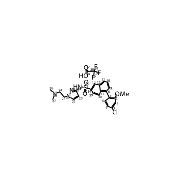 COc1cc(Cl)ccc1-c1cccc2cc(S(=O)(=O)Nc3ccn(CCN(C)C)n3)ccc12.O=C(O)C(F)(F)F